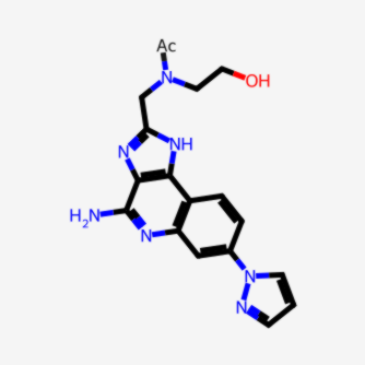 CC(=O)N(CCO)Cc1nc2c(N)nc3cc(-n4cccn4)ccc3c2[nH]1